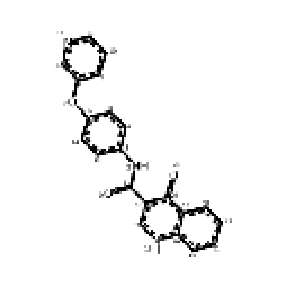 O=C(Nc1ccc(Oc2cccnc2)cc1)c1c[nH]c2ccccc2c1=O